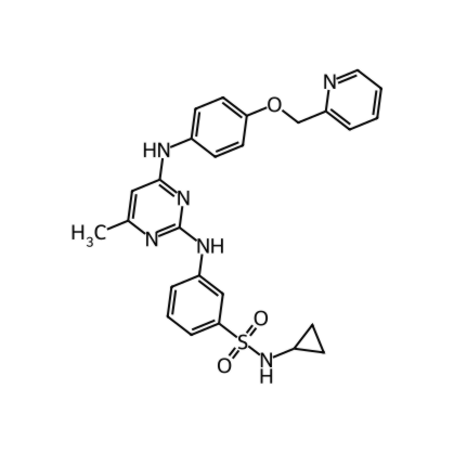 Cc1cc(Nc2ccc(OCc3ccccn3)cc2)nc(Nc2cccc(S(=O)(=O)NC3CC3)c2)n1